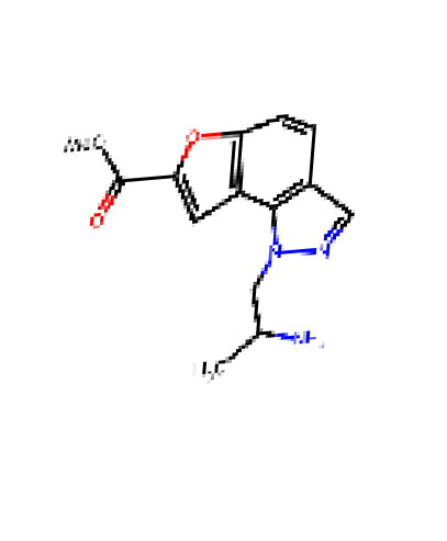 COC(=O)c1cc2c(ccc3cnn(CC(C)N)c32)o1